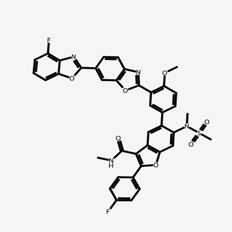 CNC(=O)c1c(-c2ccc(F)cc2)oc2cc(N(C)S(C)(=O)=O)c(-c3ccc(OC)c(-c4nc5ccc(-c6nc7c(F)cccc7o6)cc5o4)c3)cc12